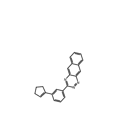 C1=C(c2cccc(-c3nnc4cc5ccccc5cc4n3)c2)CCC1